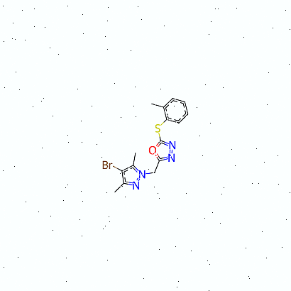 Cc1ccccc1Sc1nnc(Cn2nc(C)c(Br)c2C)o1